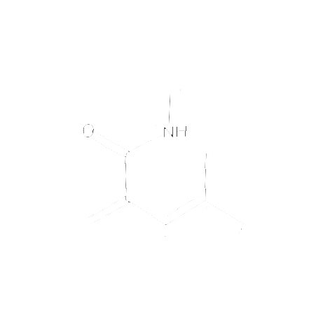 C=C(C=C(C)C)C(=O)NC